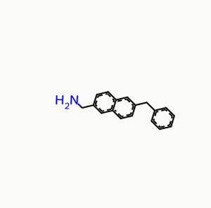 NCc1ccc2cc(Cc3ccccc3)ccc2c1